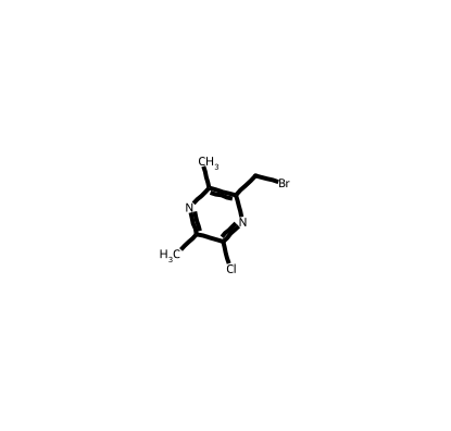 Cc1nc(C)c(CBr)nc1Cl